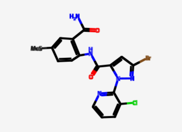 CSc1ccc(NC(=O)c2cc(Br)nn2-c2ncccc2Cl)c(C(N)=O)c1